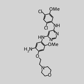 COc1cc(Nc2cc(Nc3cc(N)c(OCCN4CCOCC4)cc3OC)ncn2)c(Cl)cc1Cl